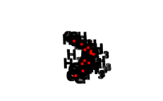 C1CCOC1.CC(=O)N(C)C.CC(Cl)(Cl)Cl.CN(C)C=O.CN1CCCC1=O.CN1CCN(C)C1=O.Cc1cccc(O)c1.ClCC(Cl)Cl.ClCCl